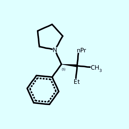 CCCC(C)(CC)[C@@H](c1ccccc1)N1CCCC1